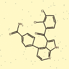 NC(=O)c1ccc(-c2ccnc3[nH]cc(C(=O)c4cccc(Cl)c4Cl)c23)cc1